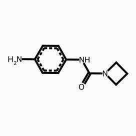 Nc1ccc(NC(=O)N2CCC2)cc1